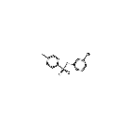 Cc1ccc(S(=O)(=O)Oc2cccc(C#N)c2)cc1